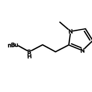 CCCCBCCc1nccn1C